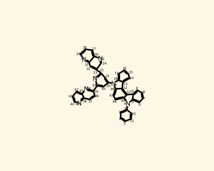 c1ccc(-n2c3ccccc3c3c4c5ccccc5n(-c5cc(-c6cnc7cccnc7c6)nc(-c6ccc7ncccc7n6)c5)c4ccc32)cc1